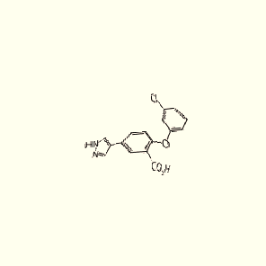 O=C(O)c1cc(-c2cn[nH]c2)ccc1Oc1cccc(Cl)c1